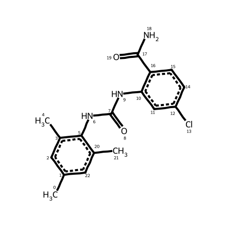 Cc1cc(C)c(NC(=O)Nc2cc(Cl)ccc2C(N)=O)c(C)c1